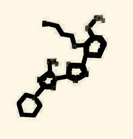 COc1cccc(-c2nnc(-n3nc(N4CCCCC4)nc3N)s2)c1OCCCBr